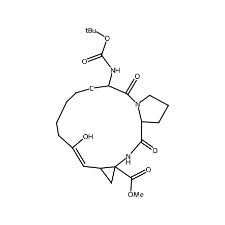 COC(=O)C12CC1/C=C(\O)CCCCCC(NC(=O)OC(C)(C)C)C(=O)N1CCCC1C(=O)N2